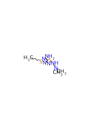 CCCCCSc1nc(N)c2sc(NCCN(CC)CC)nc2n1